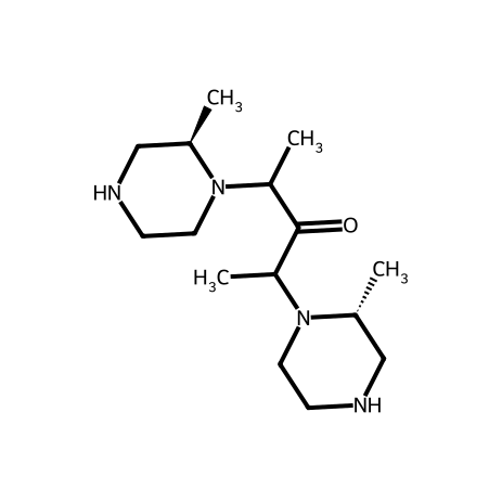 CC(C(=O)C(C)N1CCNC[C@H]1C)N1CCNC[C@H]1C